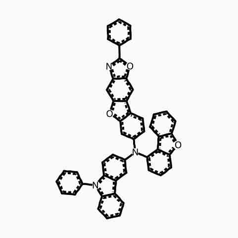 c1ccc(-c2nc3cc4oc5cc(N(c6ccc7c(c6)c6ccccc6n7-c6ccccc6)c6cccc7oc8ccccc8c67)ccc5c4cc3o2)cc1